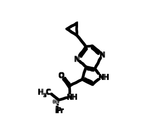 CC(C)[C@H](C)NC(=O)c1c[nH]c2ncc(C3CC3)nc12